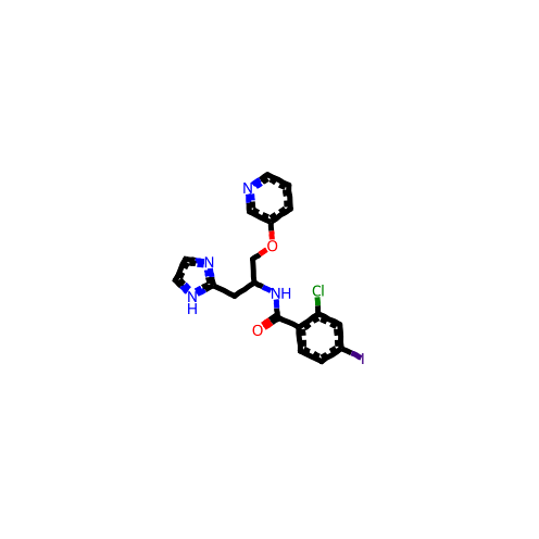 O=C(NC(COc1cccnc1)Cc1ncc[nH]1)c1ccc(I)cc1Cl